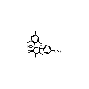 COc1ccc(C23Oc4cc(C)cc(C)c4C2(O)C(=O)C(C)C3C)cc1